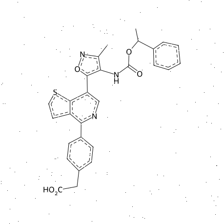 Cc1noc(-c2cnc(-c3ccc(CC(=O)O)cc3)c3ccsc23)c1NC(=O)OC(C)c1ccccc1